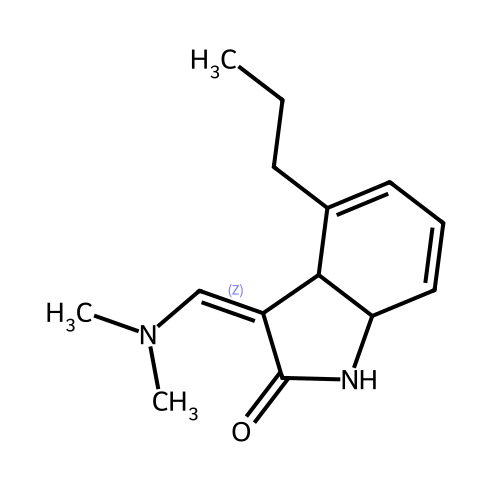 CCCC1=CC=CC2NC(=O)/C(=C\N(C)C)C12